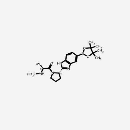 CC(C)[C@H](NC(=O)O)C(=O)N1CCC[C@H]1c1nc2cc(B3OC(C)(C)C(C)(C)O3)ccc2[nH]1